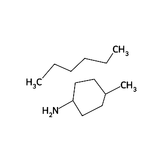 CC1CCC(N)CC1.CCCCCC